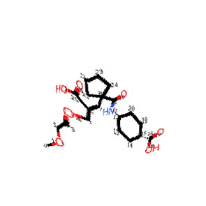 COCCOCC(=CC1(C(=O)N[C@H]2CC[C@@H](C(=O)O)CC2)CCCC1)C(=O)O